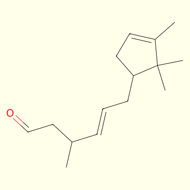 CC1=CCC(C/C=C/C(C)CC=O)C1(C)C